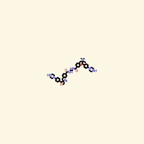 CCC(Cc1ccc(C(=O)NCCNC(=O)c2ccc(CC(CC)(C(=O)c3ccc(N4CCNCC4)cc3)N(C)C)cc2)cc1)(C(=O)c1ccc(N2CCNCC2)cc1)N(C)C